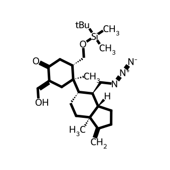 C=C1CC[C@H]2[C@H](CN=[N+]=[N-])[C@@H]([C@@]3(C)C/C(=C\O)C(=O)C[C@@H]3CO[Si](C)(C)C(C)(C)C)CC[C@]12C